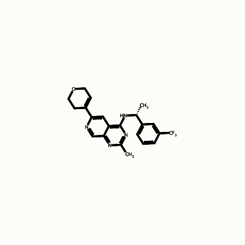 Cc1nc(N[C@H](C)c2cccc(C(F)(F)F)c2)c2cc(C3=CCOCC3)ncc2n1